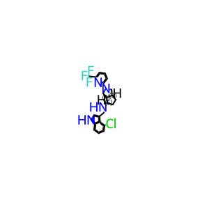 FC(F)(F)c1cccc(N2C[C@H]3CC[C@H](NCc4c[nH]c5cccc(Cl)c45)[C@H]3C2)n1